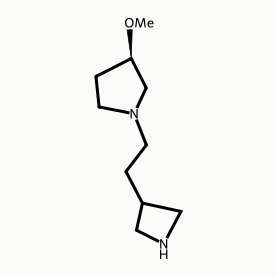 CO[C@@H]1CCN(CCC2CNC2)C1